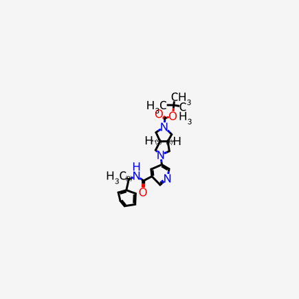 C[C@@H](NC(=O)c1cncc(N2C[C@H]3CN(C(=O)OC(C)(C)C)C[C@H]3C2)c1)c1ccccc1